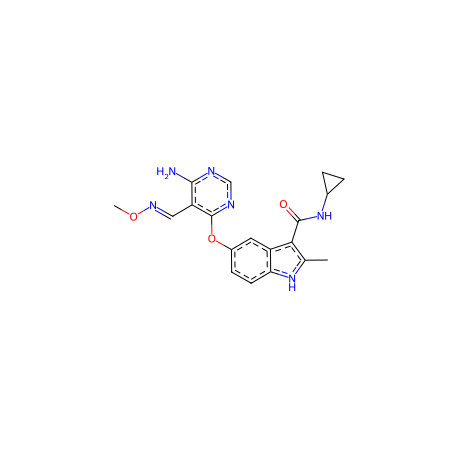 CON=Cc1c(N)ncnc1Oc1ccc2[nH]c(C)c(C(=O)NC3CC3)c2c1